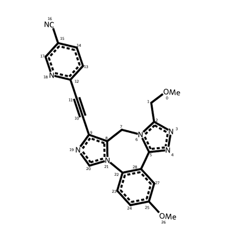 COCc1nnc2n1Cc1c(C#Cc3ccc(C#N)cn3)ncn1-c1ccc(OC)cc1-2